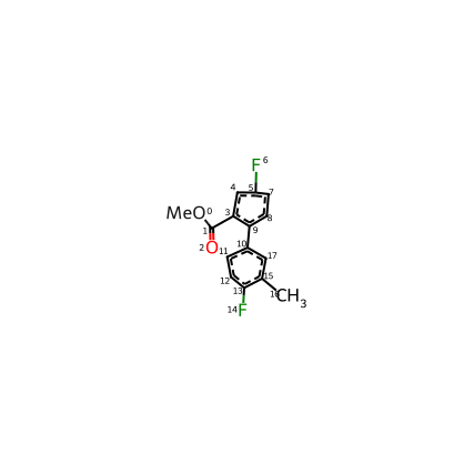 COC(=O)c1cc(F)ccc1-c1ccc(F)c(C)c1